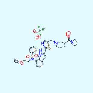 CCOCCN(c1cccc2cc(-c3ncc(CN4CCCC(C(=O)N5CCCC5)C4)s3)[nH]c12)S(=O)(=O)c1cccs1.O=C(O)C(F)(F)F